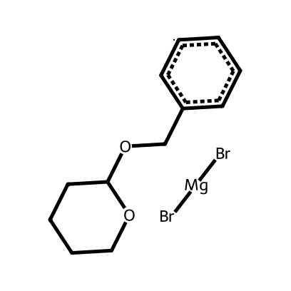 [Br][Mg][Br].[c]1cccc(COC2CCCCO2)c1